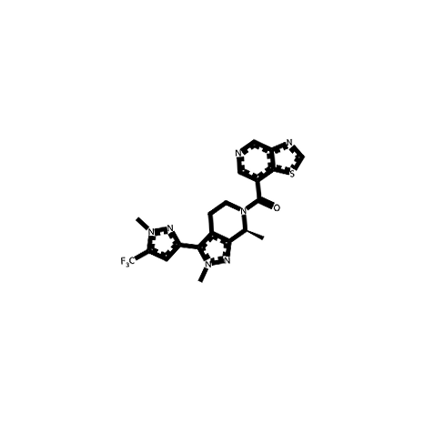 C[C@H]1c2nn(C)c(-c3cc(C(F)(F)F)n(C)n3)c2CCN1C(=O)c1cncc2ncsc12